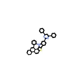 C1=CC2=C(CC1)C1C=Cc3sc4c5ccc(-c6nc(-c7ccccc7)cc(-c7ccccc7)n6)cc5n5c4c3C1C(=C2)c1ccccc1-5